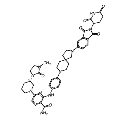 CN1CCN([C@H]2CCCN(c3cnc(C(N)=O)c(Nc4ccc(N5CCC6(CC5)CCN(c5ccc7c(c5)C(=O)N(C5CCC(=O)NC5=O)C7=O)C6)cc4)n3)C2)C1=O